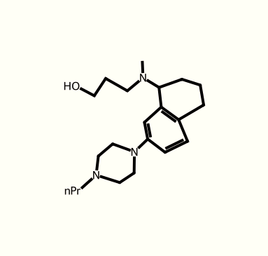 CCCN1CCN(c2ccc3c(c2)C(N(C)CCCO)CCC3)CC1